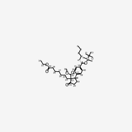 CCCCC[C@H](O[Si](C)(C)C(C)(C)C)c1ccc([C@H]2CCC(=O)C2(CCCCCCC(=O)OCC)C(=O)OC)cc1